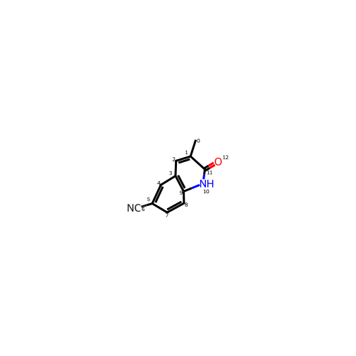 Cc1cc2cc(C#N)ccc2[nH]c1=O